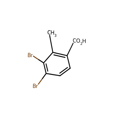 Cc1c(C(=O)O)ccc(Br)c1Br